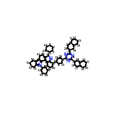 c1ccc(-c2nc3c(-c4ccc(-c5nc(-c6ccc7ccccc7c6)nc(-c6ccc7ccccc7c6)n5)cc4)cccc3c3c2ccc2c4ccccc4n(-c4ccccc4)c23)cc1